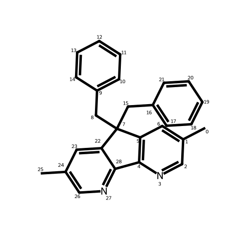 Cc1cnc2c(c1)C(Cc1ccccc1)(Cc1ccccc1)c1cc(C)cnc1-2